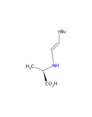 CCCC/C=C/N[C@H](C)C(=O)O